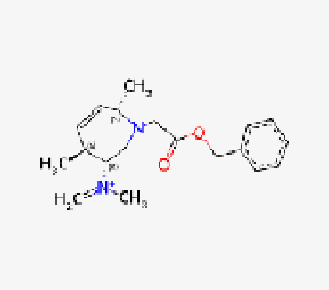 C=[N+](C)[C@H]1CN(CC(=O)OCc2ccccc2)[C@@H](C)C=C[C@@H]1C